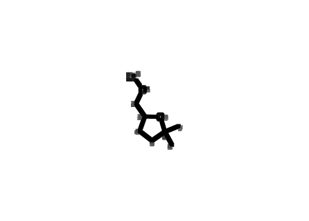 CCOCC1CCC(C)(C)O1